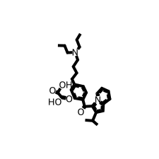 CCCN(CCC)CCCCc1ccc(C(=O)c2c(C(C)C)cc3ccccn23)cc1.O=C(O)C(=O)O